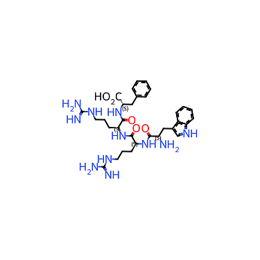 N=C(N)NCCC[C@H](NC(=O)[C@H](CCCNC(=N)N)NC(=O)[C@@H](N)Cc1c[nH]c2ccccc12)C(=O)N[C@@H](Cc1ccccc1)C(=O)O